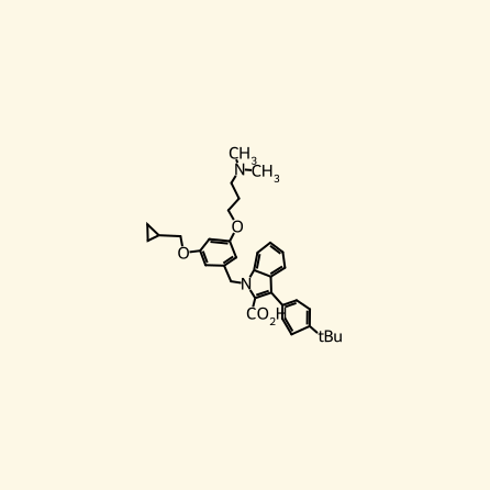 CN(C)CCCOc1cc(Cn2c(C(=O)O)c(-c3ccc(C(C)(C)C)cc3)c3ccccc32)cc(OCC2CC2)c1